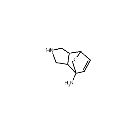 NC12C=CC(CC1)C1CNCC12